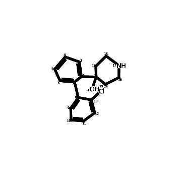 OC1(c2ccccc2-c2ccccc2Cl)CCNCC1